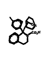 Cc1ccc(C2(C3CN4CCC3CC4)c3ccccc3CCN2C(=O)O)cc1